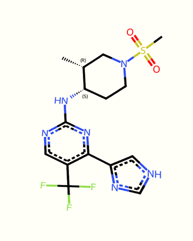 C[C@@H]1CN(S(C)(=O)=O)CC[C@@H]1Nc1ncc(C(F)(F)F)c(-c2c[nH]cn2)n1